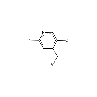 CC(C)Cc1cc(F)ncc1Cl